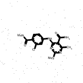 CNC(=O)c1ccc(Nc2nc(SC)nc(C)c2C(N)=O)cc1Cl